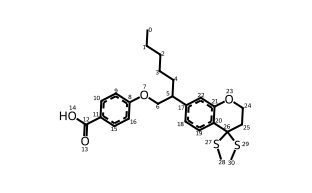 CCCCCC(COc1ccc(C(=O)O)cc1)c1ccc2c(c1)OCCC2(SC)SC